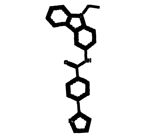 CCn1c2ccccc2c2cc(NC(=O)c3ccc(-c4cccs4)cc3)ccc21